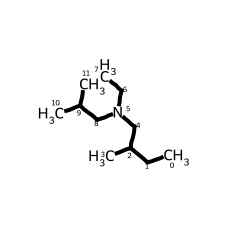 CCC(C)CN(CC)CC(C)C